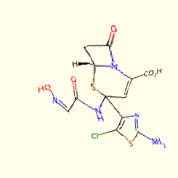 Nc1nc(C2(NC(=O)/C=N\O)C=C(C(=O)O)N3C(=O)C[C@H]3S2)c(Cl)s1